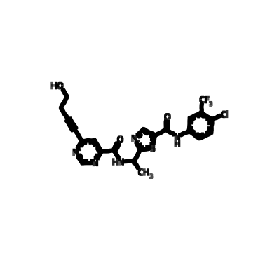 CC(NC(=O)c1cc(C#CCCO)ncn1)c1ncc(C(=O)Nc2ccc(Cl)c(C(F)(F)F)c2)s1